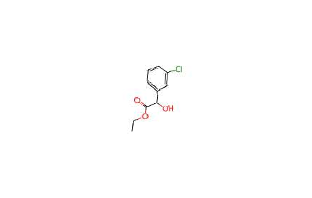 CCOC(=O)C(O)c1cccc(Cl)c1